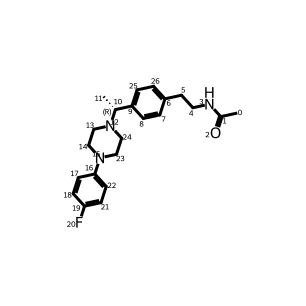 CC(=O)NCCc1ccc([C@@H](C)N2CCN(c3ccc(F)cc3)CC2)cc1